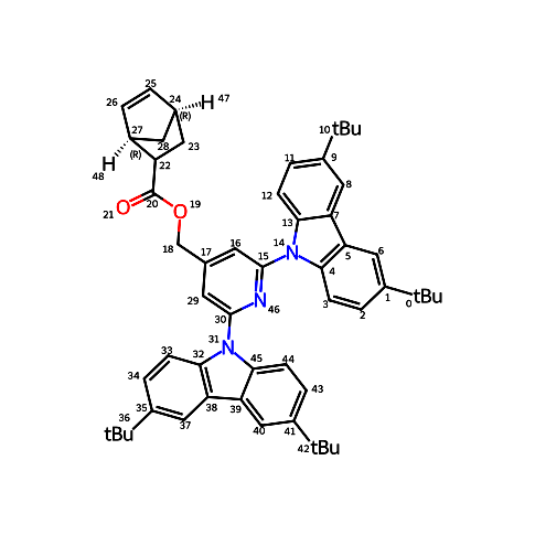 CC(C)(C)c1ccc2c(c1)c1cc(C(C)(C)C)ccc1n2-c1cc(COC(=O)C2C[C@@H]3C=C[C@H]2C3)cc(-n2c3ccc(C(C)(C)C)cc3c3cc(C(C)(C)C)ccc32)n1